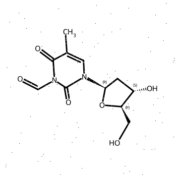 Cc1cn([C@H]2C[C@H](O)[C@@H](CO)O2)c(=O)n(C=O)c1=O